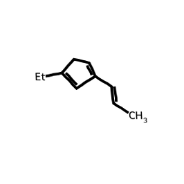 CC=CC1=CCC(CC)=C1